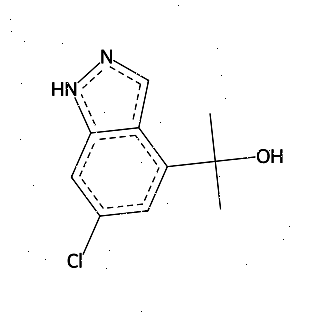 CC(C)(O)c1cc(Cl)cc2[nH]ncc12